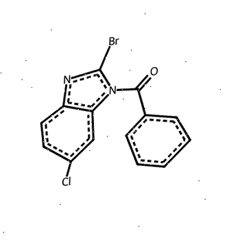 O=C(c1ccccc1)n1c(Br)nc2ccc(Cl)cc21